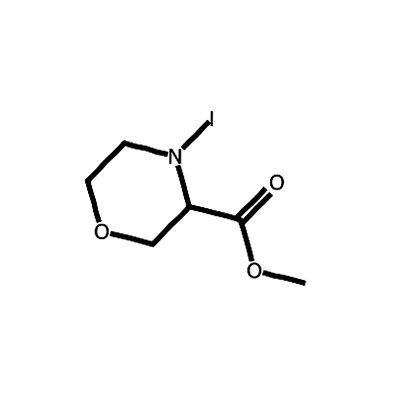 COC(=O)C1COCCN1I